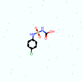 O=C(O)NS(=O)(=O)Nc1ccc(Cl)cc1